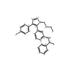 CCOCn1nnc(-c2ccc(F)cc2)c1-c1ccnc(NC(C)c2ccccc2)c1